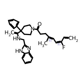 C=C/C(F)=C\C=C(/C)CCC(=O)N1CCC(C(=C)NCc2nc3ccccc3[nH]2)(c2ccccc2)CC1